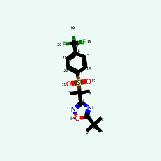 CC(C)(C)c1nc(C(C)(C)S(=O)(=O)c2ccc(C(F)(F)F)cc2)no1